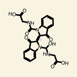 O=C(O)CNC(=O)N1/C(=C2\C(=O)c3ccccc3N2C(O)NCC(=O)O)C(=O)c2ccccc21